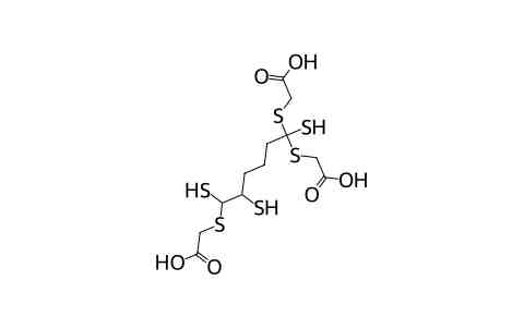 O=C(O)CSC(S)C(S)CCCC(S)(SCC(=O)O)SCC(=O)O